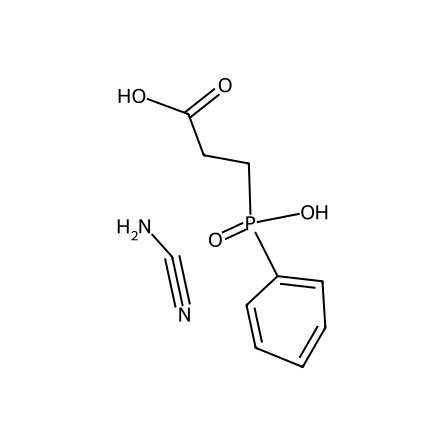 N#CN.O=C(O)CCP(=O)(O)c1ccccc1